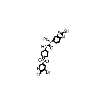 CC(C)N(C(=O)NC1CCN(S(=O)(=O)c2cnc(Cl)c(Br)c2)CC1)c1ccc2nc(S)sc2c1